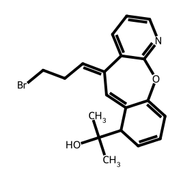 CC(C)(O)C1C=CC=C2Oc3ncccc3C(=CCCBr)C=C21